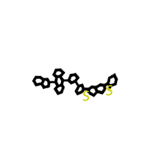 c1cc(-c2ccc3sc4cc5cc6sc7ccccc7c6cc5cc4c3c2)cc(-c2c3ccccc3c(-c3ccc4ccccc4c3)c3ccccc23)c1